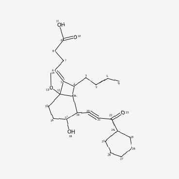 CCCCC1C(=CCCC(=O)O)C2(OC)CCC(O)C(C#CC(=O)C3CCCCC3)C12